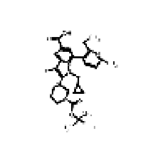 CCc1nc(C)ccc1-c1cc(C(=O)O)cc2c(F)c([C@@H]3CCCN(C(=O)OC(C)(C)C)C3)n(CC3CC3)c12